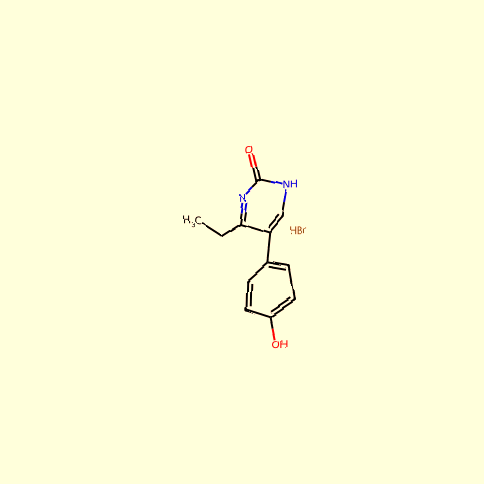 Br.CCc1nc(=O)[nH]cc1-c1ccc(O)cc1